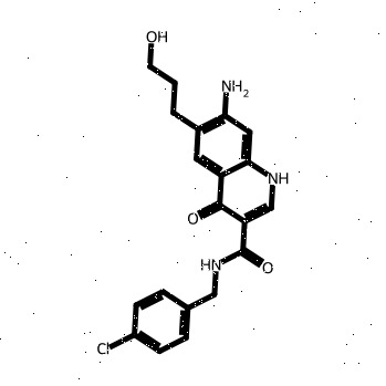 Nc1cc2[nH]cc(C(=O)NCc3ccc(Cl)cc3)c(=O)c2cc1CCCO